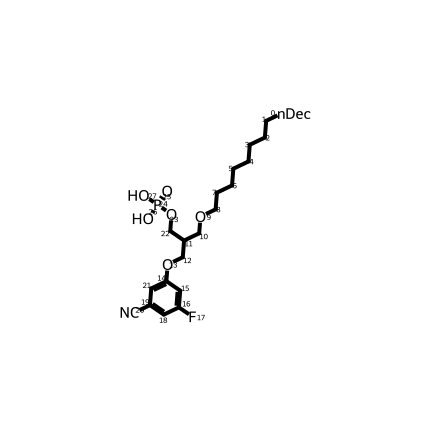 CCCCCCCCCCCCCCCCCCOCC(COc1cc(F)cc(C#N)c1)COP(=O)(O)O